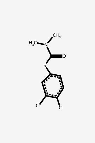 CN(C)C(=O)Sc1ccc(Cl)c(Cl)c1